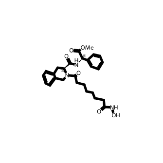 COC(=O)[C@@H](NC(=O)[C@@H]1Cc2ccccc2CN1C(=O)CCCCCCC(=O)NO)c1ccccc1